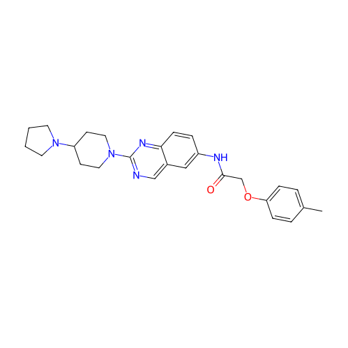 Cc1ccc(OCC(=O)Nc2ccc3nc(N4CCC(N5CCCC5)CC4)ncc3c2)cc1